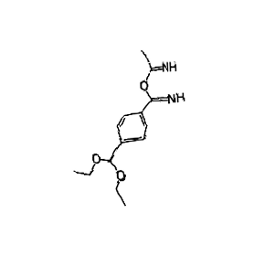 CCOC(OCC)c1ccc(C(=N)OC(C)=N)cc1